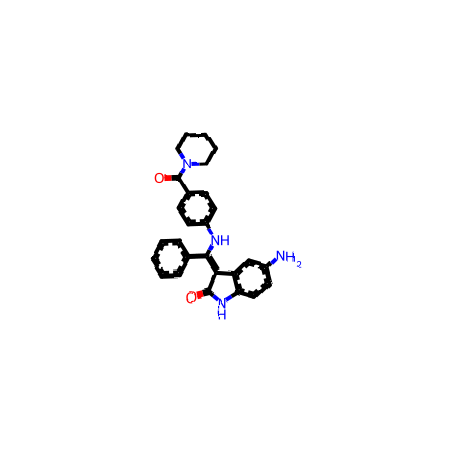 Nc1ccc2c(c1)C(=C(Nc1ccc(C(=O)N3CCCCC3)cc1)c1ccccc1)C(=O)N2